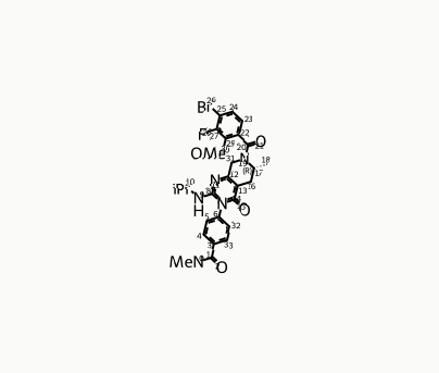 CNC(=O)c1ccc(-n2c(NC(C)C)nc3c(c2=O)C[C@@H](C)N(C(=O)c2ccc(Br)c(F)c2OC)C3)cc1